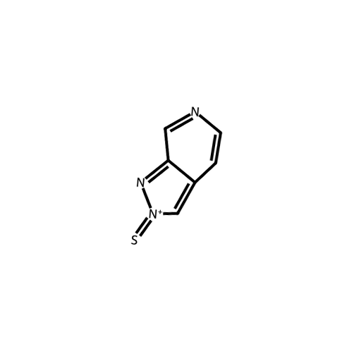 S=[N+]1C=c2ccncc2=N1